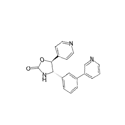 O=C1N[C@@H](c2cccc(-c3cccnc3)c2)[C@H](c2ccncc2)O1